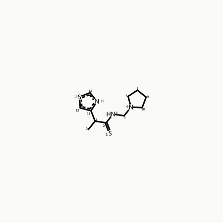 CC(C(=S)NCN1CCCC1)c1cscn1